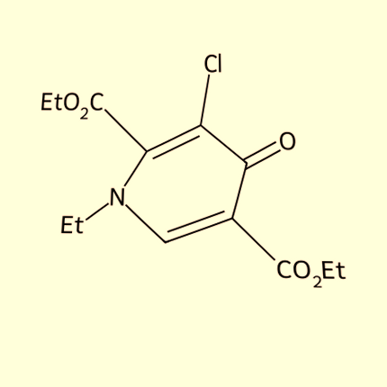 CCOC(=O)c1cn(CC)c(C(=O)OCC)c(Cl)c1=O